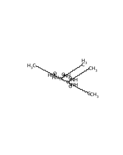 CCCCCCCCCCCCCCCCNC(=O)CCNCCN(CCCCCN(CCC(=O)NCCCCCCCCCCCCCCCC)CCC(=O)NCCCCCCCCCCCCCCCC)CCC(=O)NCCCCCCCCCCCCCCCC